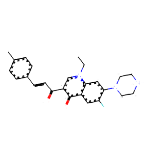 CCn1cc(C(=O)C=Cc2ccc(C)cc2)c(=O)c2cc(F)c(N3CCNCC3)cc21